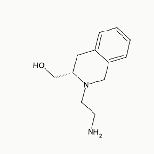 NCCN1Cc2ccccc2C[C@H]1CO